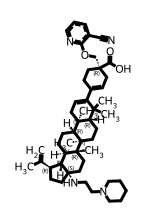 C=C(C)[C@@H]1CC[C@]2(NCCN3CCCCC3)CC[C@]3(C)[C@H](CC[C@@H]4[C@@]5(C)CC=C(C6=CC[C@](COc7ncccc7C#N)(C(=O)O)CC6)C(C)(C)[C@@H]5CC[C@]43C)[C@@H]12